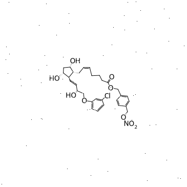 O=C(CCC/C=C\C[C@@H]1[C@@H](/C=C/[C@@H](O)COc2cccc(Cl)c2)[C@H](O)C[C@@H]1O)OCc1ccc(CO[N+](=O)[O-])cc1